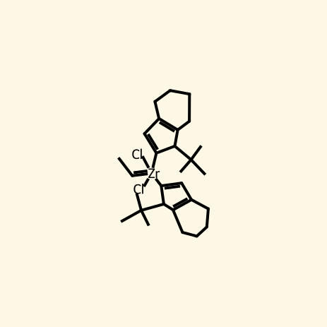 C[CH]=[Zr]([Cl])([Cl])([C]1=CC2=C(CCCC2)C1C(C)(C)C)[C]1=CC2=C(CCCC2)C1C(C)(C)C